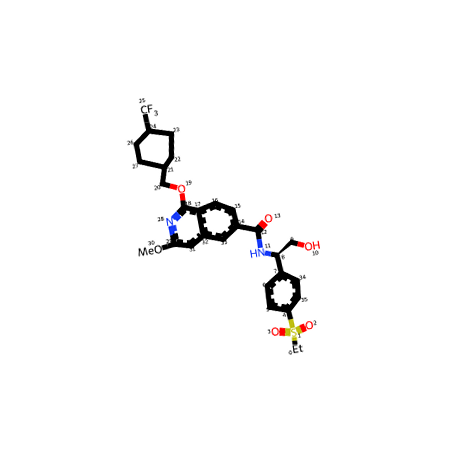 CCS(=O)(=O)c1ccc([C@H](CO)NC(=O)c2ccc3c(OCC4CCC(C(F)(F)F)CC4)nc(OC)cc3c2)cc1